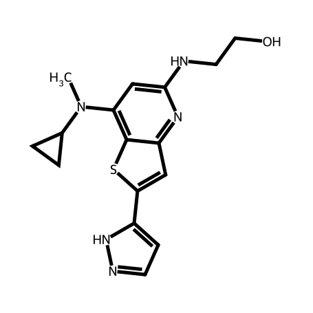 CN(c1cc(NCCO)nc2cc(-c3ccn[nH]3)sc12)C1CC1